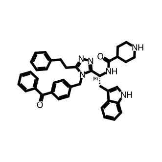 O=C(c1ccccc1)c1ccc(Cn2c(CCc3ccccc3)nnc2[C@@H](Cc2c[nH]c3ccccc23)NC(=O)C2CCNCC2)cc1